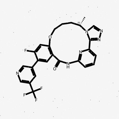 C[C@H]1CCCOc2cc(F)c(-c3cncc(C(F)(F)F)c3)cc2C(=O)Nc2cccc(n2)-c2nncn21